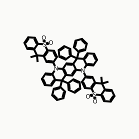 CC1(C)c2ccccc2S(=O)(=O)c2ccc(N3c4ccccc4C(c4ccccc4)(c4ccccc4)c4cc5c(cc43)C(c3ccccc3)(c3ccccc3)c3ccccc3N5c3ccc4c(c3)C(C)(C)c3ccccc3S4(=O)=O)cc21